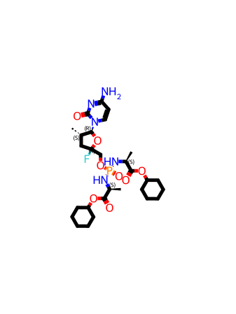 C[C@H](NP(=O)(N[C@@H](C)C(=O)OC1CCCCC1)OC[C@]1(F)C[C@H](C)[C@H](n2ccc(N)nc2=O)O1)C(=O)OC1CCCCC1